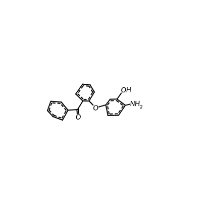 Nc1ccc(Oc2ccccc2C(=O)c2ccccc2)cc1O